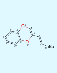 CCCCC=CC1=COc2ccccc2O1